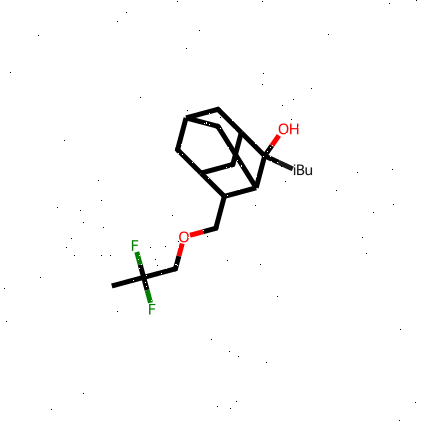 CCC(C)C1(O)C2CC3CC(C2)C(COCC(C)(F)F)C1C3